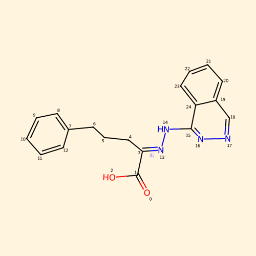 O=C(O)/C(CCCc1ccccc1)=N/Nc1nncc2ccccc12